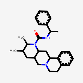 COC1CC2CN3CCc4ccccc4C3CC2N(C(=O)N[C@H](C)c2ccccc2)C1OC